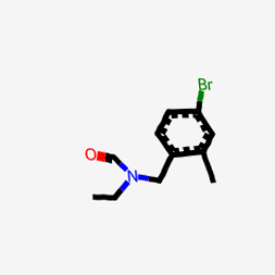 CCN(C=O)Cc1ccc(Br)cc1C